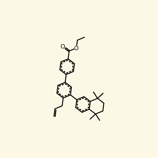 C=CCc1ccc(-c2ccc(C(=O)OCC)cc2)cc1-c1ccc2c(c1)C(C)(C)CCC2(C)C